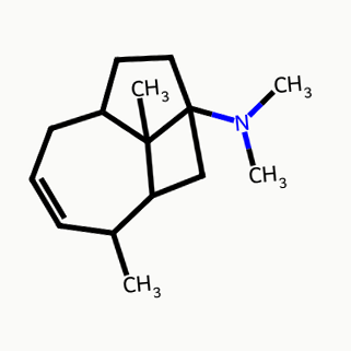 CC1C=CCC2CCC3(N(C)C)CC1C23C